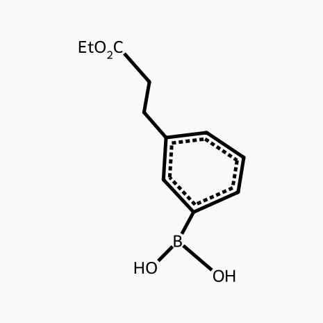 CCOC(=O)CCc1cccc(B(O)O)c1